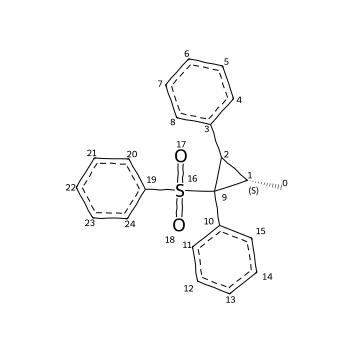 C[C@H]1C(c2ccccc2)C1(c1ccccc1)S(=O)(=O)c1ccccc1